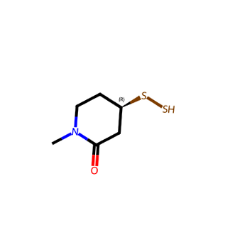 CN1CC[C@@H](SS)CC1=O